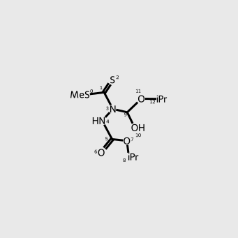 CSC(=S)N(NC(=O)OC(C)C)C(O)OC(C)C